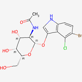 CC(=O)N[C@H]1[C@H](Oc2c[nH]c3ccc(Br)c(Cl)c23)O[C@H](CO)[C@H](O)[C@@H]1O